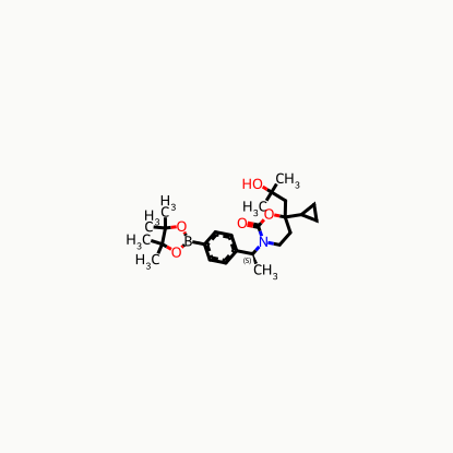 C[C@@H](c1ccc(B2OC(C)(C)C(C)(C)O2)cc1)N1CCC(CC(C)(C)O)(C2CC2)OC1=O